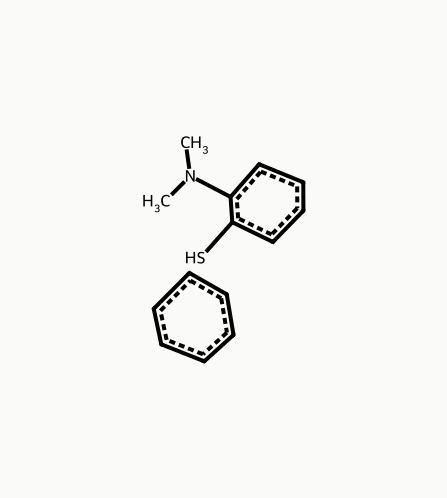 CN(C)c1ccccc1S.c1ccccc1